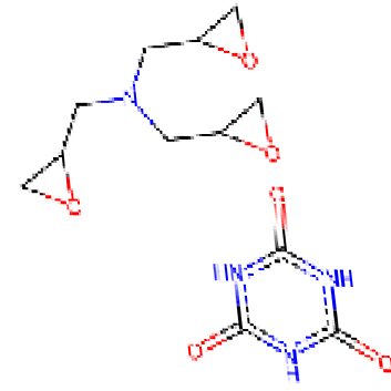 C1OC1CN(CC1CO1)CC1CO1.O=c1[nH]c(=O)[nH]c(=O)[nH]1